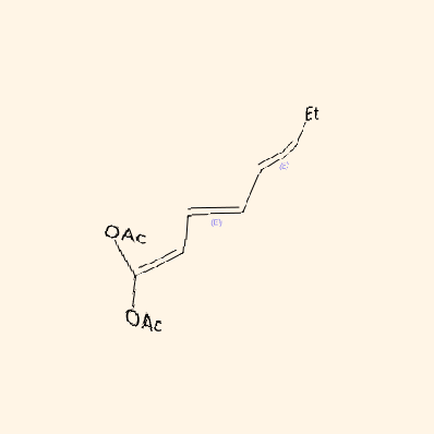 CC/C=C/C=C/C=C(OC(C)=O)OC(C)=O